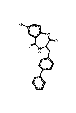 O=C1NC(Cc2ccc(-c3ccccc3)cc2)C(=O)Nc2ccc(Cl)cc21